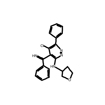 N=C(c1ccccc1)c1c(NC2CCOC2)nnc(-c2ccccc2)c1Cl